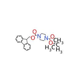 CC(C)(C)OC(=O)N1CCN(C(=O)OCC2c3ccccc3-c3ccccc32)CC1